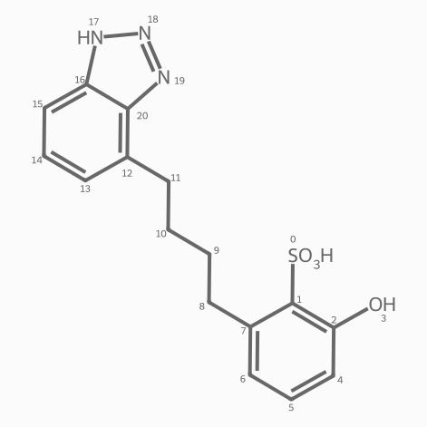 O=S(=O)(O)c1c(O)cccc1CCCCc1cccc2[nH]nnc12